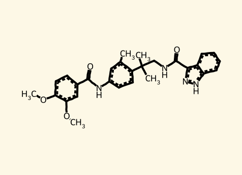 COc1ccc(C(=O)Nc2ccc(C(C)(C)CNC(=O)c3n[nH]c4ccccc34)c(C)c2)cc1OC